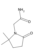 CC1(C)CCC(=O)N1CC(N)=O